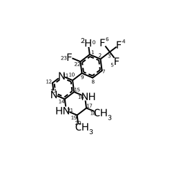 [2H]c1c(C(F)(F)F)ccc(-c2ncnc3c2NC(C)C(C)N3)c1F